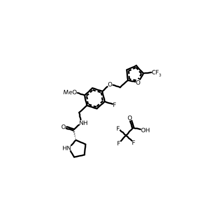 COc1cc(OCc2ccc(C(F)(F)F)o2)c(F)cc1CNC(=O)[C@@H]1CCCN1.O=C(O)C(F)(F)F